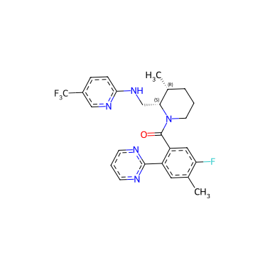 Cc1cc(-c2ncccn2)c(C(=O)N2CCC[C@@H](C)[C@H]2CNc2ccc(C(F)(F)F)cn2)cc1F